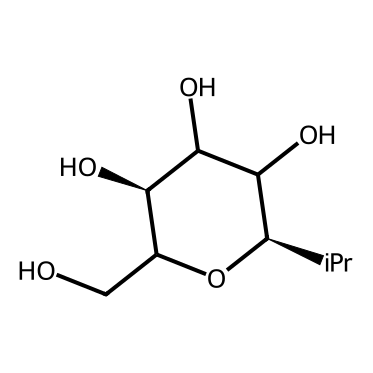 CC(C)[C@H]1OC(CO)[C@@H](O)C(O)C1O